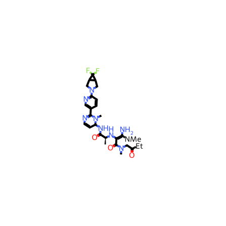 CCC(=O)CN(C)C(=O)/C(N[C@@H](C)C(=O)NC1C=CN=C(c2ccc(N3CC4C(C3)C4(F)F)nc2)N1C)=C(/N)NC